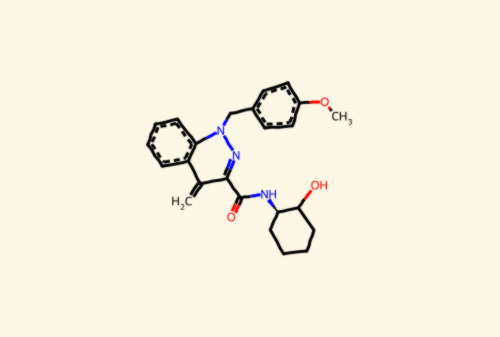 C=C1C(C(=O)N[C@@H]2CCCCC2O)=NN(Cc2ccc(OC)cc2)c2ccccc21